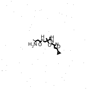 CC(NC(=O)c1cc(C2CC2)on1)C(C)(C)CNC(=O)C[C@H](C)N